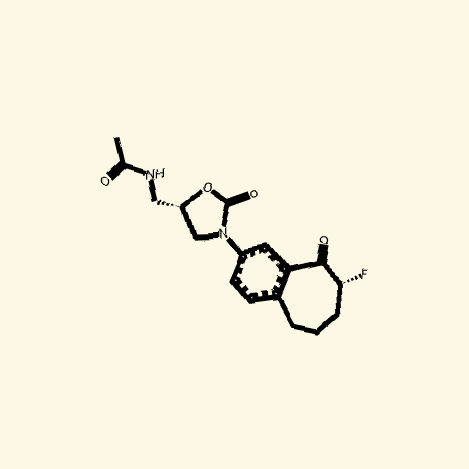 CC(=O)NC[C@H]1CN(c2ccc3c(c2)C(=O)[C@H](F)CCC3)C(=O)O1